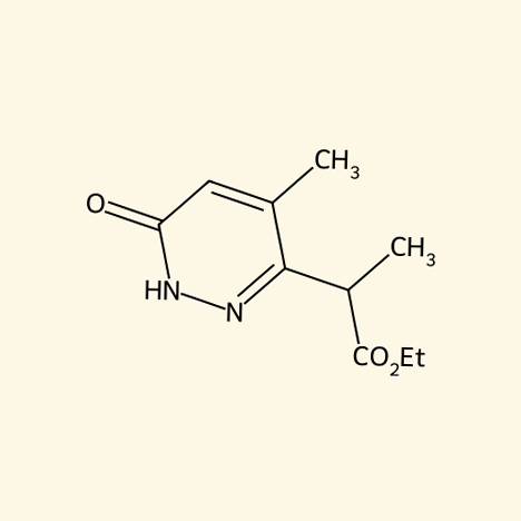 CCOC(=O)C(C)c1n[nH]c(=O)cc1C